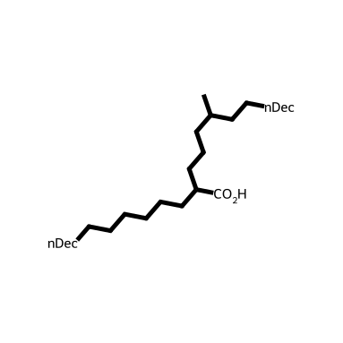 CCCCCCCCCCCCCCCCC(CCCC(C)CCCCCCCCCCCC)C(=O)O